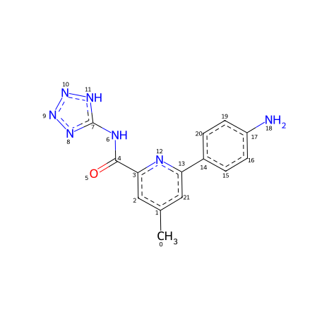 Cc1cc(C(=O)Nc2nnn[nH]2)nc(-c2ccc(N)cc2)c1